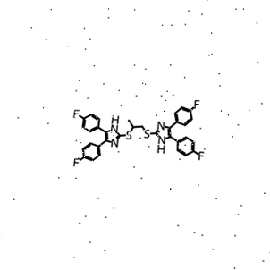 CC(CSc1nc(-c2ccc(F)cc2)c(-c2ccc(F)cc2)[nH]1)Sc1nc(-c2ccc(F)cc2)c(-c2ccc(F)cc2)[nH]1